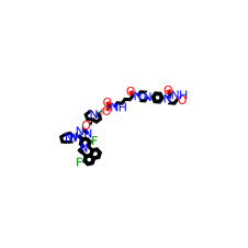 C#Cc1c(F)ccc2cccc(-c3ncc4c(N5CC6CCC(C5)N6)nc(OC[C@@]56CCCN5[C@H](COC(=O)NCCCCC(=O)N5CCN(c7ccc(N8CCC(=O)NC8=O)cc7)CC5)CC6)nc4c3F)c12